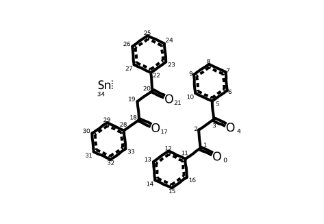 O=C(CC(=O)c1ccccc1)c1ccccc1.O=C(CC(=O)c1ccccc1)c1ccccc1.[Sn]